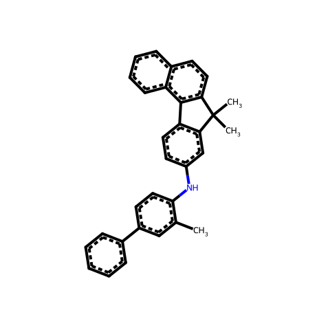 Cc1cc(-c2ccccc2)ccc1Nc1ccc2c(c1)C(C)(C)c1ccc3ccccc3c1-2